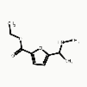 CCOC(=O)c1ccc(C(C)NC)o1